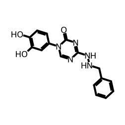 O=c1nc(NNCc2ccccc2)ncn1-c1ccc(O)c(O)c1